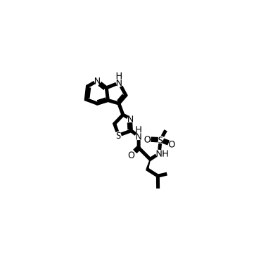 CC(C)C[C@H](NS(C)(=O)=O)C(=O)NC1=NC(c2c[nH]c3ncccc23)CS1